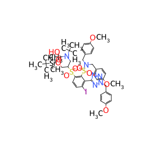 COc1ccc(CN(Cc2ccc(OC)cc2)S(=O)(=O)c2c(S(=O)(=O)C(CO[Si](C)(C)C(C)(C)C)CN(C(=O)O)C(C)(C)C)ccc(I)c2-c2nnn(Cc3ccc(OC)cc3)n2)cc1